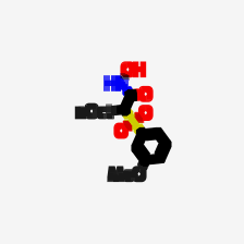 CCCCCCCCC(C(=O)NO)S(=O)(=O)c1cccc(OC)c1